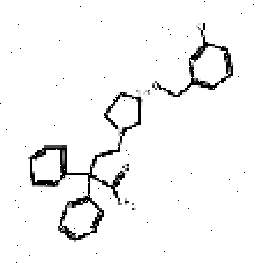 NC(=O)C(CCN1CC[C@H](OCc2cccc(Cl)c2)C1)(c1ccccc1)c1ccccc1